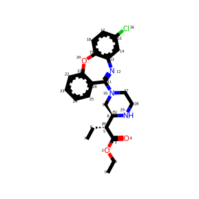 CCOC(=O)[C@H](CC)[C@H]1CN(C2=Nc3cc(Cl)ccc3Oc3ccccc32)CCN1